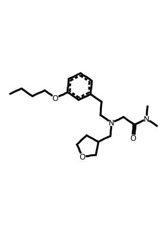 CCCCOc1cccc(CCN(CC(=O)N(C)C)CC2CCOC2)c1